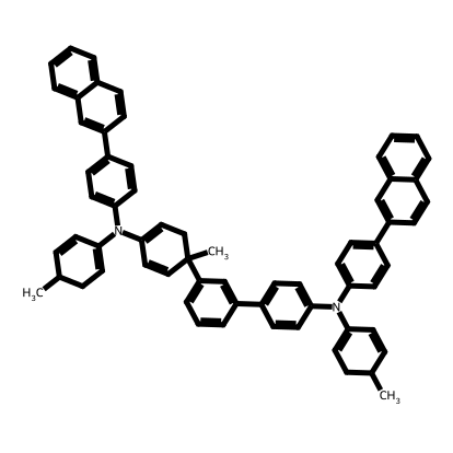 CC1C=CC(N(C2=CCC(C)(c3cccc(-c4ccc(N(C5=CCC(C)C=C5)c5ccc(-c6ccc7ccccc7c6)cc5)cc4)c3)C=C2)c2ccc(-c3ccc4ccccc4c3)cc2)=CC1